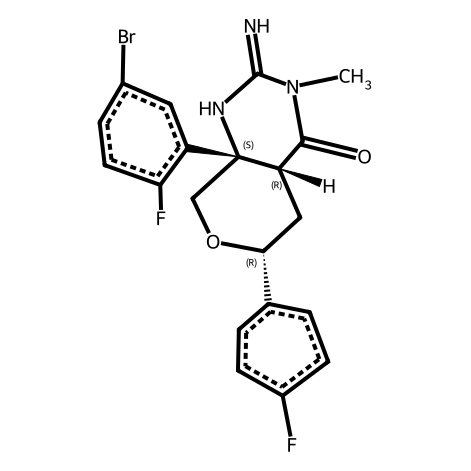 CN1C(=N)N[C@@]2(c3cc(Br)ccc3F)CO[C@@H](c3ccc(F)cc3)C[C@H]2C1=O